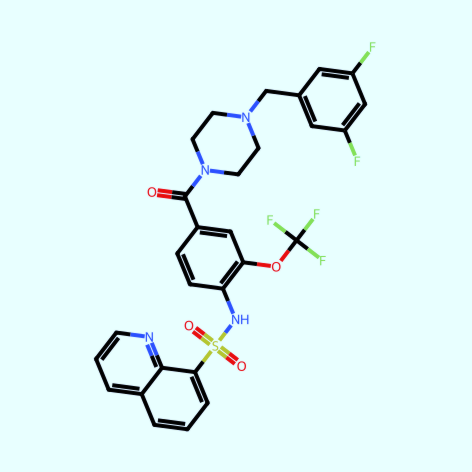 O=C(c1ccc(NS(=O)(=O)c2cccc3cccnc23)c(OC(F)(F)F)c1)N1CCN(Cc2cc(F)cc(F)c2)CC1